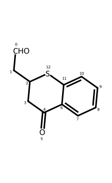 O=CCC1CC(=O)c2ccccc2S1